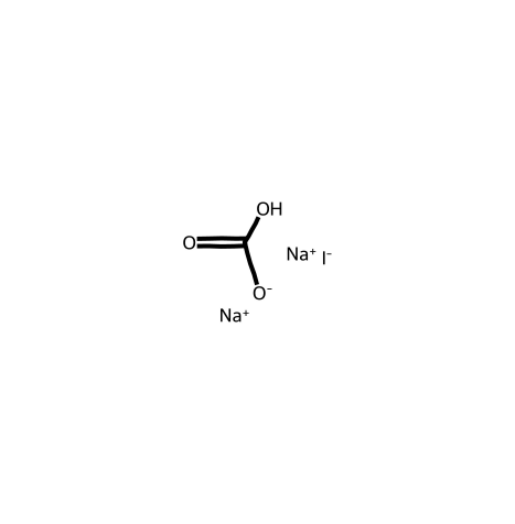 O=C([O-])O.[I-].[Na+].[Na+]